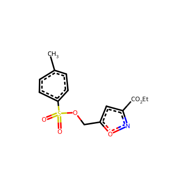 CCOC(=O)c1cc(COS(=O)(=O)c2ccc(C)cc2)on1